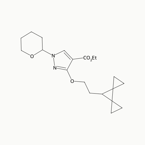 CCOC(=O)c1cn(C2CCCCO2)nc1OCCC1C2(CC2)C12CC2